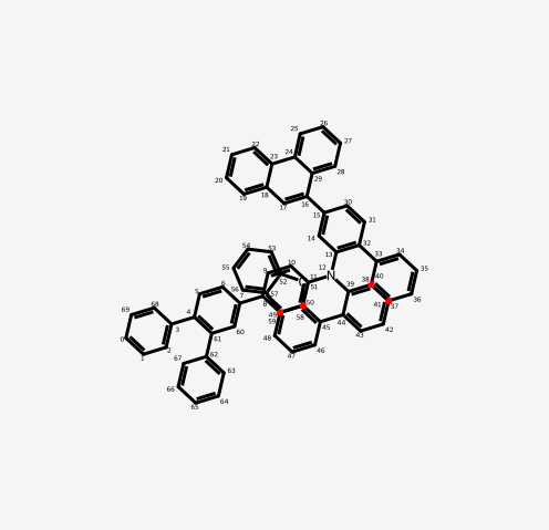 c1ccc(-c2ccc(-c3ccc(N(c4cc(-c5cc6ccccc6c6ccccc56)ccc4-c4ccccc4)c4ccccc4-c4cccc5c4oc4ccccc45)cc3)cc2-c2ccccc2)cc1